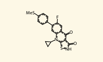 CSc1ccc(-c2cc3c(cc2F)c(=O)c2c(=O)[nH]sc2n3C2CC2)cc1